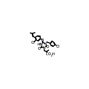 CC(C)=Cc1ccc(/N=c2\[nH]c(=O)n(C[C@H](C)C(=O)O)c(=O)n2Cc2ccc(Cl)cc2)cc1Cl